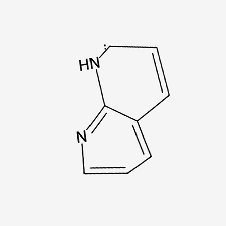 [C]1C=Cc2cccnc2N1